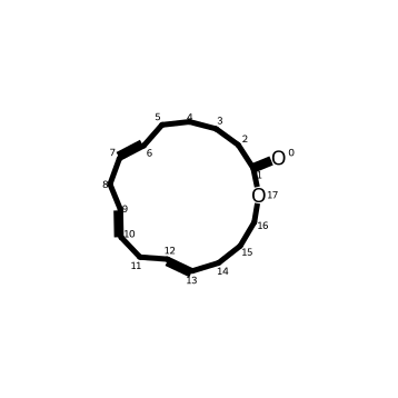 O=C1CCCC/C=C/C/C=C/C/C=C/CCCO1